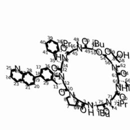 CC[C@H](C)[C@@H]1NC(=O)[C@@H]2CCCN2C(=O)[C@H](Cc2cccc(-c3ccc4cccnc4c3)c2)N(C)C(=O)[C@H](Cc2ccccc2)NC(=O)[C@H](C(C)C)N(C)C(=O)[C@@H]([C@@H](C)CC)OC(=O)[C@H](C(C)(C)O)N(C)C(=O)[C@H](CC(C)C)NC(=O)[C@H](C(C)C)N(C)C1=O